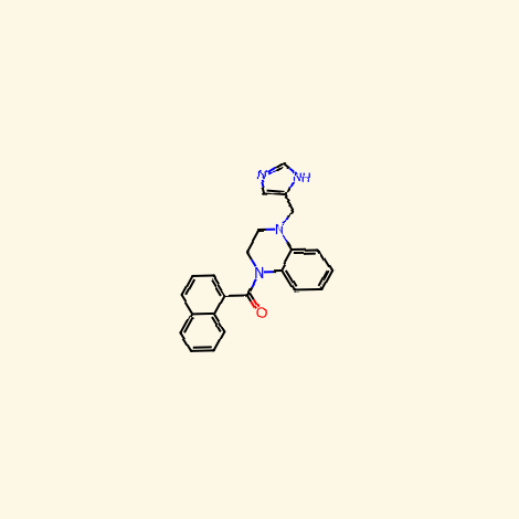 O=C(c1cccc2ccccc12)N1CCN(Cc2cnc[nH]2)c2ccccc21